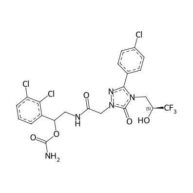 NC(=O)OC(CNC(=O)Cn1nc(-c2ccc(Cl)cc2)n(C[C@H](O)C(F)(F)F)c1=O)c1cccc(Cl)c1Cl